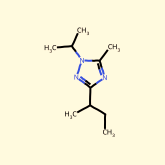 CCC(C)c1nc(C)n(C(C)C)n1